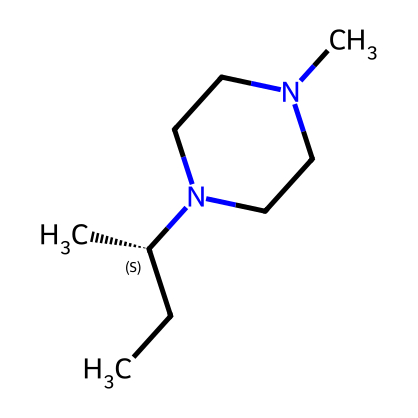 CC[C@H](C)N1CCN(C)CC1